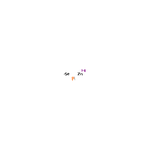 I.[P].[Se].[Zn]